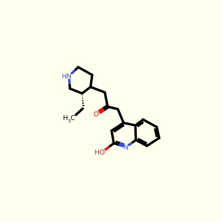 CC[C@@H]1CNCCC1CC(=O)Cc1cc(O)nc2ccccc12